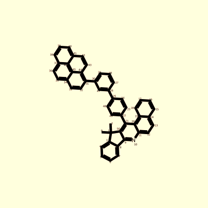 CC1(C)c2ccccc2-c2nc3ccc4ccccc4c3c(-c3ccc(-c4cccc(-c5ccc6ccc7cccc8ccc5c6c78)c4)cc3)c21